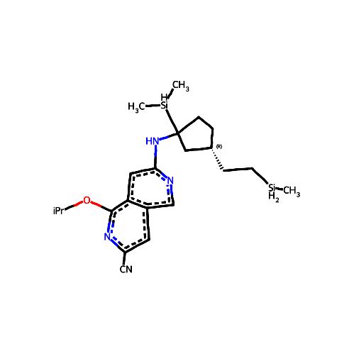 C[SiH2]CC[C@H]1CCC(Nc2cc3c(OC(C)C)nc(C#N)cc3cn2)([SiH](C)C)C1